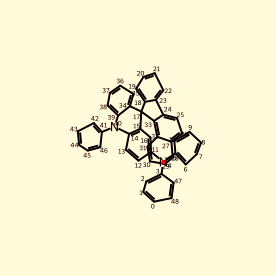 c1ccc(N(c2ccccc2)c2ccc3c(c2)C2(c4ccccc4-c4ccc5ccccc5c42)c2ccccc2N3c2ccccc2)cc1